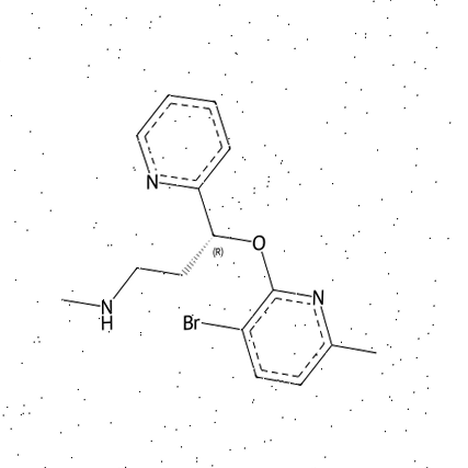 CNCC[C@@H](Oc1nc(C)ccc1Br)c1ccccn1